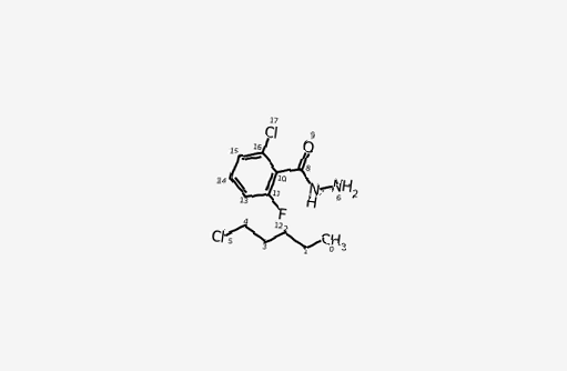 CCCCCCl.NNC(=O)c1c(F)cccc1Cl